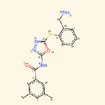 Cc1cc(C)cc(C(=O)Nc2nnc(Sc3ccccc3CN)o2)c1